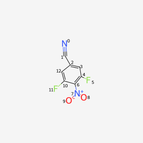 N#Cc1cc(F)c([N+](=O)[O-])c(F)c1